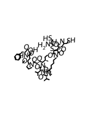 CC[C@@H](C)[C@@H]([C@@H](CC(=O)N1CCC[C@H]1[C@H](OC)[C@@H](C)C(=O)N[C@@H](Cc1ccccc1)C(=O)O)OC)N(C)C(=O)[C@@H](NC(=O)[C@H](C(C)C)N(C)C(=O)CCCCCN1C(=O)C(SC(=O)[C@@H](N)CS)=C(SC(=O)[C@@H](N)CS)C1=O)C(C)C